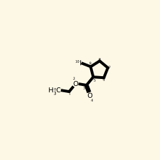 CCOC(=O)C1CCCC1I